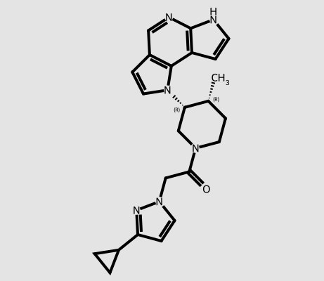 C[C@@H]1CCN(C(=O)Cn2ccc(C3CC3)n2)C[C@@H]1n1ccc2cnc3[nH]ccc3c21